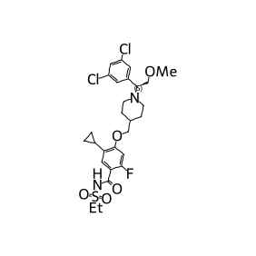 CCS(=O)(=O)NC(=O)c1cc(C2CC2)c(OCC2CCN([C@H](COC)c3cc(Cl)cc(Cl)c3)CC2)cc1F